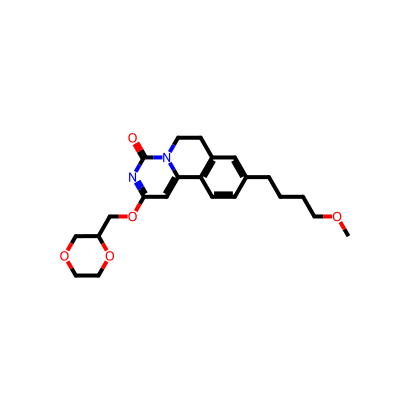 COCCCCc1ccc2c(c1)CCn1c-2cc(OCC2COCCO2)nc1=O